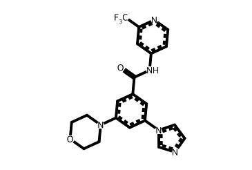 O=C(Nc1ccnc(C(F)(F)F)c1)c1cc(N2CCOCC2)cc(-n2ccnc2)c1